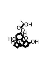 C[C@H](O)C(=O)OC1=CC[C@@]2(O)[C@@H]3CCC34Cc3ccc(O)c5c3[C@@]2(C4)[C@H]1O5